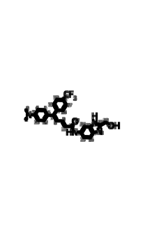 CN(C)c1ccc(C(=CC=CC(=O)Nc2ccc3nc(CO)[nH]c3c2)c2ccc(C(F)(F)F)cc2)cc1